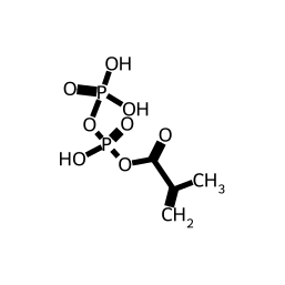 C=C(C)C(=O)OP(=O)(O)OP(=O)(O)O